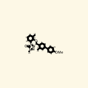 COc1ccc(-c2ccc(COc3c(C)cccc3-n3nnn(C)c3=O)c(C)c2)cc1